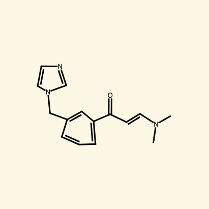 CN(C)C=CC(=O)c1cccc(Cn2ccnc2)c1